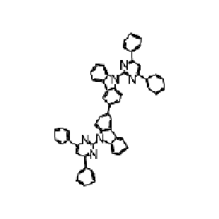 c1ccc(-c2cc(-c3ccccc3)nc(-n3c4ccccc4c4cc(-c5ccc6c(c5)c5ccccc5n6-c5nc(-c6ccccc6)cc(-c6ccccc6)n5)ccc43)n2)cc1